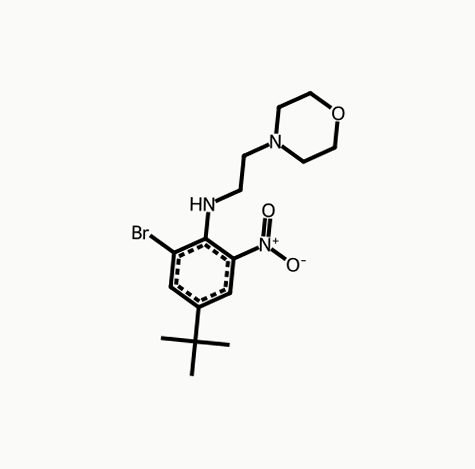 CC(C)(C)c1cc(Br)c(NCCN2CCOCC2)c([N+](=O)[O-])c1